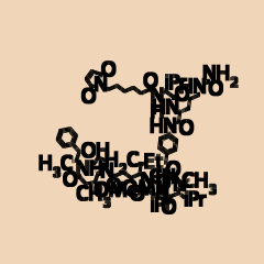 C=C(CC)[C@@H]([C@@H](CC(=O)N1CCC[C@H]1[C@H](OC)[C@@H](C)C(=O)N[C@H](C)[C@@H](O)c1ccccc1)OC)N(C)C(=O)[C@@H](NC(=O)[C@H](C(C)C)N(C)C(=O)OCc1ccc(NC(=O)[C@H](CCCNC(N)=O)NC(=O)[C@@H](NC(=O)CCCCCN2C(=O)C=CC2=O)C(C)C)cc1)C(C)C